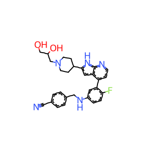 N#Cc1ccc(CNc2ccc(F)c(-c3ccnc4[nH]c(C5CCN(CC(O)CO)CC5)cc34)c2)cc1